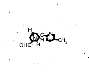 Cc1ccc(O[C@@H]2C[C@H]3CC[C@@H]2N(C=O)C3)nc1